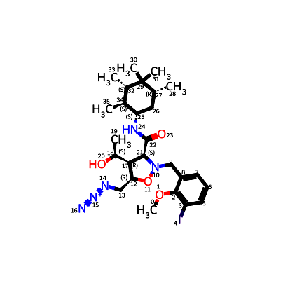 COc1c(I)cccc1CN1O[C@@H](CN=[N+]=[N-])[C@@H]([C@H](C)O)[C@H]1C(=O)N[C@H]1C[C@@H](C)C(C)(C)[C@@H](C)[C@@H]1C